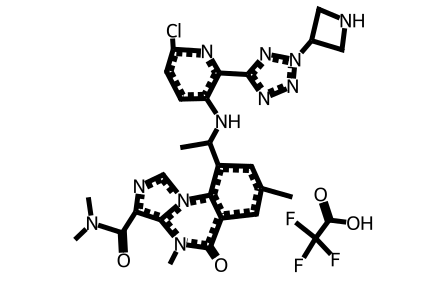 Cc1cc(C(C)Nc2ccc(Cl)nc2-c2nnn(C3CNC3)n2)c2c(c1)c(=O)n(C)c1c(C(=O)N(C)C)ncn21.O=C(O)C(F)(F)F